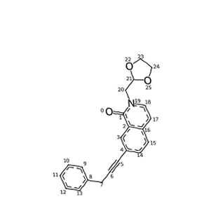 O=c1c2cc(C#CCc3ccccc3)ccc2ccn1CC1OCCO1